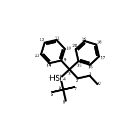 CCCC([SiH]C(C)(C)C)(c1ccccc1)c1ccccc1